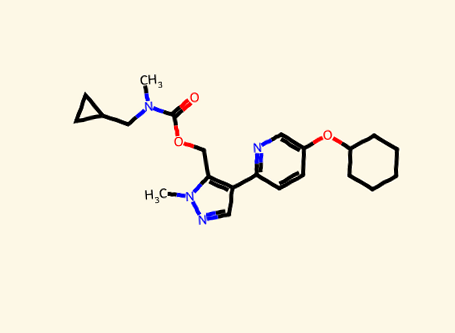 CN(CC1CC1)C(=O)OCc1c(-c2ccc(OC3CCCCC3)cn2)cnn1C